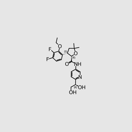 CCOc1c([C@@H]2CC(C)(C)O[C@H]2C(=O)Nc2ccc([C@@H](O)CO)nc2)ccc(F)c1F